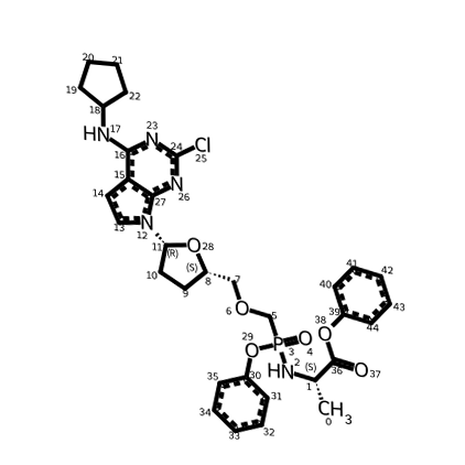 C[C@H](NP(=O)(COC[C@@H]1CC[C@H](n2ccc3c(NC4CCCC4)nc(Cl)nc32)O1)Oc1ccccc1)C(=O)Oc1ccccc1